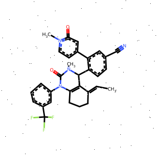 CC=C1CCCC2=C1C(c1ccc(C#N)cc1-c1ccn(C)c(=O)c1)N(C)C(=O)N2c1cccc(C(F)(F)F)c1